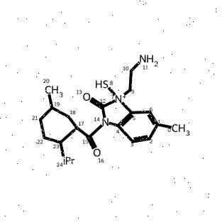 Cc1ccc2c(c1)[N+](S)(CCN)C(=O)N2C(=O)C1CC(C)CCC1C(C)C